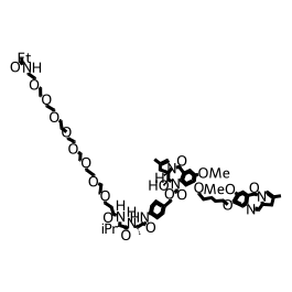 CCC(=O)NCCOCCOCCOCCOCCOCCOCCOCCOCCC(=O)N[C@H](C(=O)N[C@@H](C)C(=O)Nc1ccc(COC(=O)N2c3cc(OCCCCCOc4cc5c(cc4OC)C(=O)N4C=C(C)CC4C=N5)c(OC)cc3C(=O)N3C=C(C)C[C@H]3[C@@H]2O)cc1)C(C)C